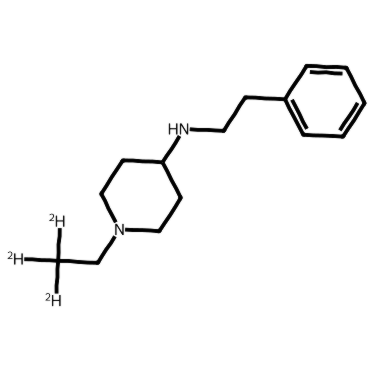 [2H]C([2H])([2H])CN1CCC(NCCc2ccccc2)CC1